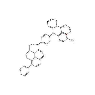 Cc1ccc(N(c2ccc(-c3ccc4ccc5c(-c6ccccc6)ccc6ccc3c4c65)cc2)c2ccccc2-c2ccccc2)cc1